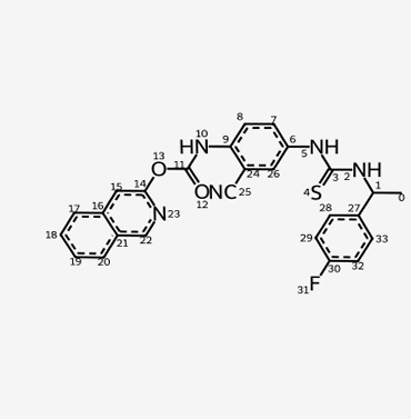 CC(NC(=S)Nc1ccc(NC(=O)Oc2cc3ccccc3cn2)c(C#N)c1)c1ccc(F)cc1